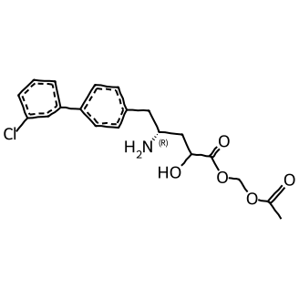 CC(=O)OCOC(=O)C(O)C[C@H](N)Cc1ccc(-c2cccc(Cl)c2)cc1